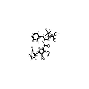 COc1c(C(=O)NC(Cc2ccccc2)CN(C(=O)O)C(C)(C)C)sc(-c2ccnn2C)c1Br